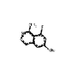 CC(C)(C)c1cc(F)c2c(N)nncc2c1